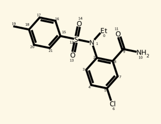 CCN(c1ccc(Cl)cc1C(N)=O)S(=O)(=O)c1ccc(C)cc1